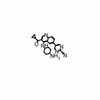 N#Cc1ncc(-c2ccc3ncc(C(=O)C4CC4)c(N[C@H]4CC[C@H](N)CC4)c3c2)cn1